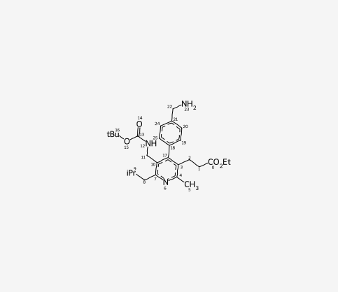 CCOC(=O)CCc1c(C)nc(CC(C)C)c(CNC(=O)OC(C)(C)C)c1-c1ccc(CN)cc1